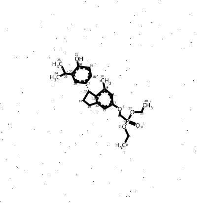 CCOP(=O)(COc1cc(C)c2c(c1)CC[C@@H]2c1ccc(O)c(C(C)C)c1)OCC